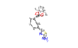 CC1(C)OB(c2cccc(-c3csc(N)n3)c2)OC1(C)C